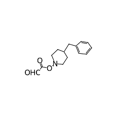 O=CC(=O)ON1CCC(Cc2ccccc2)CC1